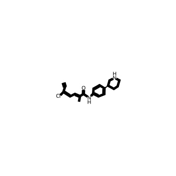 C#C/C(Cl)=C\C=C(/C)C(=O)Nc1ccc([C@@H]2CCCNC2)cc1